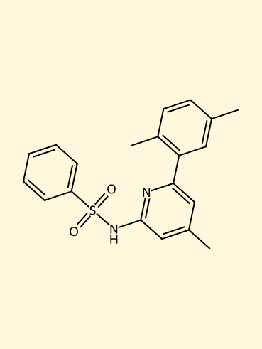 Cc1cc(NS(=O)(=O)c2ccccc2)nc(-c2cc(C)ccc2C)c1